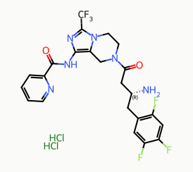 Cl.Cl.N[C@@H](CC(=O)N1CCn2c(C(F)(F)F)nc(NC(=O)c3ccccn3)c2C1)Cc1cc(F)c(F)cc1F